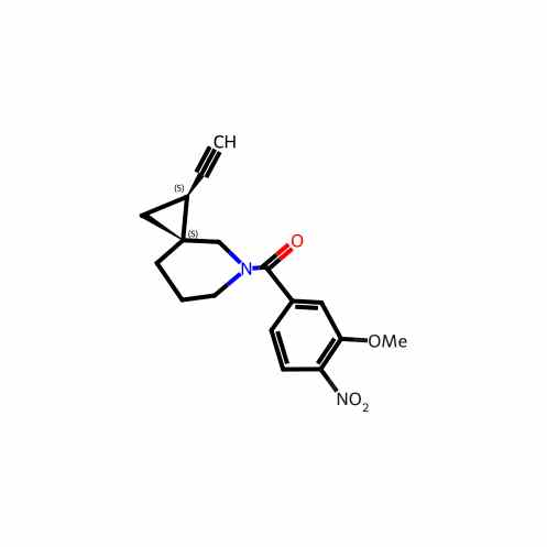 C#C[C@@H]1C[C@@]12CCCN(C(=O)c1ccc([N+](=O)[O-])c(OC)c1)C2